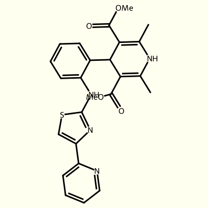 COC(=O)C1=C(C)NC(C)=C(C(=O)OC)C1c1ccccc1Nc1nc(-c2ccccn2)cs1